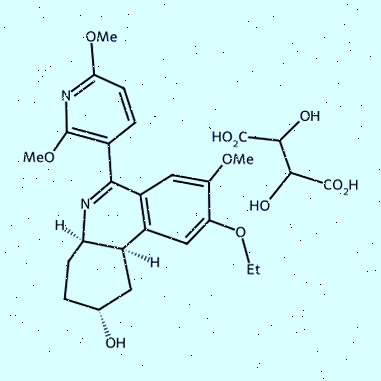 CCOc1cc2c(cc1OC)C(c1ccc(OC)nc1OC)=N[C@@H]1CC[C@@H](O)C[C@H]21.O=C(O)C(O)C(O)C(=O)O